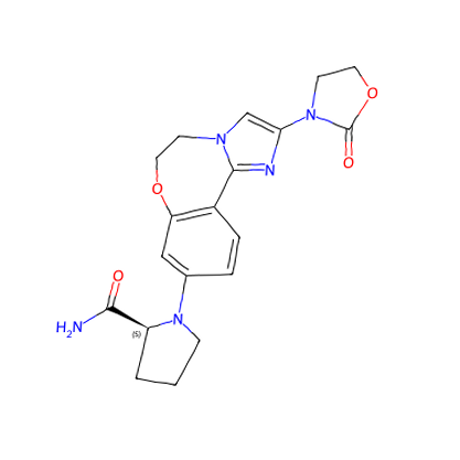 NC(=O)[C@@H]1CCCN1c1ccc2c(c1)OCCn1cc(N3CCOC3=O)nc1-2